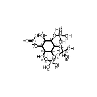 O=[PH](O)OC1C(O)C(O[PH](O)(O)O)C(O[PH](O)(O)O)C(O[PH](O)(O)O)C1O